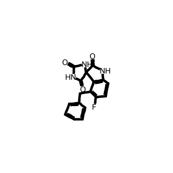 O=C1NC(=O)C2(N1)C(=O)Nc1ccc(F)c(Cc3ccccc3)c12